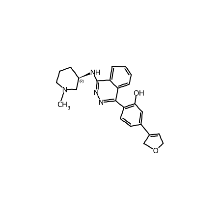 CN1CCC[C@@H](Nc2nnc(-c3ccc(C4=CCOC4)cc3O)c3ccccc23)C1